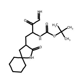 CC(C)(C)OC(=O)NC(CC1CC2(CCCCC2)NC1=O)C(=O)C=N